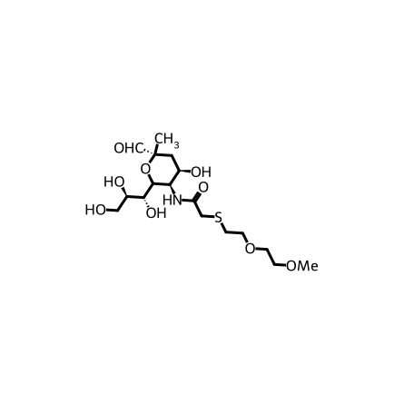 COCCOCCSCC(=O)N[C@H]1C([C@H](O)[C@H](O)CO)O[C@](C)(C=O)C[C@H]1O